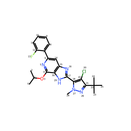 CC(C)Oc1nc(-c2ccccc2F)cc2nc(-c3c(Cl)c(C(C)(C)C)nn3C)[nH]c12